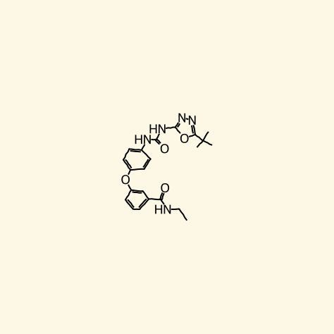 CCNC(=O)c1cccc(Oc2ccc(NC(=O)Nc3nnc(C(C)(C)C)o3)cc2)c1